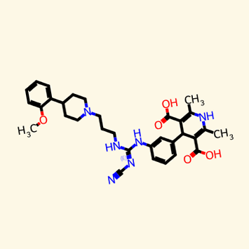 COc1ccccc1C1CCN(CCCN/C(=N\C#N)Nc2cccc(C3C(C(=O)O)=C(C)NC(C)=C3C(=O)O)c2)CC1